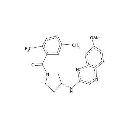 COc1ccc2ncc(N[C@@H]3CCN(C(=O)c4cc(C)ccc4C(F)(F)F)C3)nc2c1